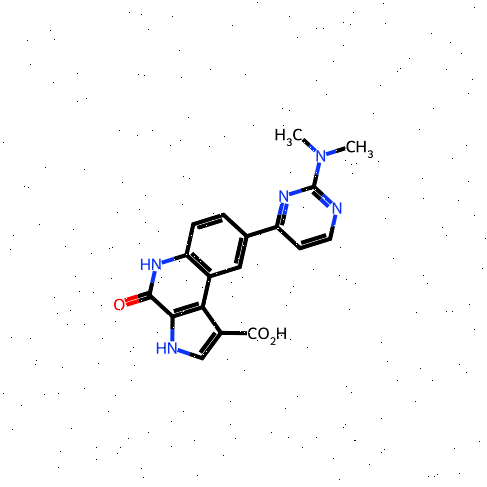 CN(C)c1nccc(-c2ccc3[nH]c(=O)c4[nH]cc(C(=O)O)c4c3c2)n1